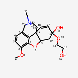 COc1ccc2c3c1OC1CC(O)(OCCO)C=CC31CCN(C)C2